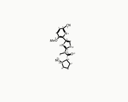 COc1ccc(C#N)nc1-c1csc(N(C)C(=O)[C@@H]2CCCN2C#N)n1